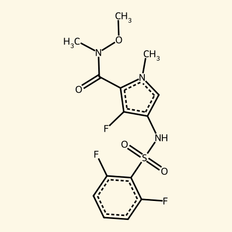 CON(C)C(=O)c1c(F)c(NS(=O)(=O)c2c(F)cccc2F)cn1C